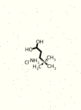 C[N+](C)(C)CCC(O)O.N.[Cl-]